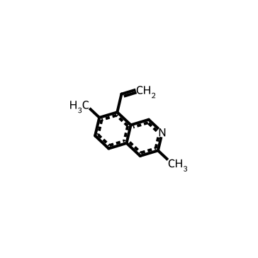 C=Cc1c(C)ccc2cc(C)ncc12